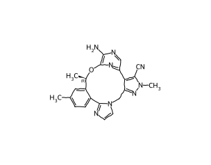 Cc1ccc2c(c1)[C@@H](C)Oc1nc(cnc1N)-c1c(nn(C)c1C#N)Cn1ccnc1-2